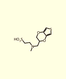 CN(CCS(=O)(=O)O)CC1COc2cscc2O1